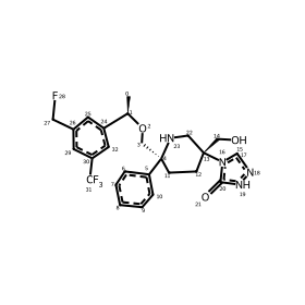 C[C@@H](OC[C@@]1(c2ccccc2)CC[C@@](CO)(n2cn[nH]c2=O)CN1)c1cc(CF)cc(C(F)(F)F)c1